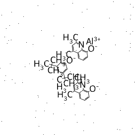 CC(C)(C)c1cc([O-])cc(C(C)(C)C)c1.Cc1cc(C)c2cccc([O-])c2n1.Cc1cc(C)c2cccc([O-])c2n1.[Al+3]